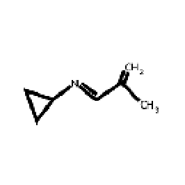 C=C(C)/C=N/C1CC1